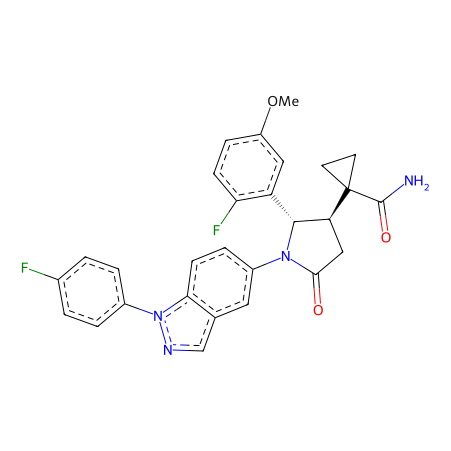 COc1ccc(F)c([C@@H]2[C@@H](C3(C(N)=O)CC3)CC(=O)N2c2ccc3c(cnn3-c3ccc(F)cc3)c2)c1